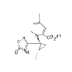 C=C(C)/C=C(/C(=O)O)N(C)[C@@]1(c2noc(=O)[nH]2)C[C@@H]1C